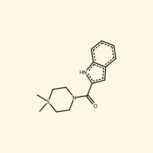 CS1(C)CCN(C(=O)c2cc3ccccc3[nH]2)CC1